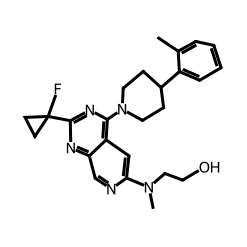 Cc1ccccc1C1CCN(c2nc(C3(F)CC3)nc3cnc(N(C)CCO)cc23)CC1